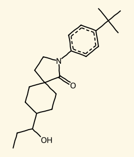 CCC(O)C1CCC2(CC1)CCN(c1ccc(C(C)(C)C)cc1)C2=O